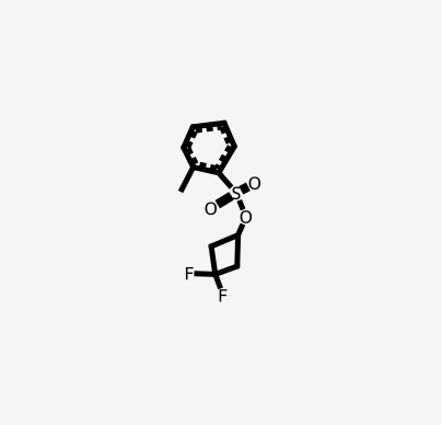 Cc1ccccc1S(=O)(=O)OC1CC(F)(F)C1